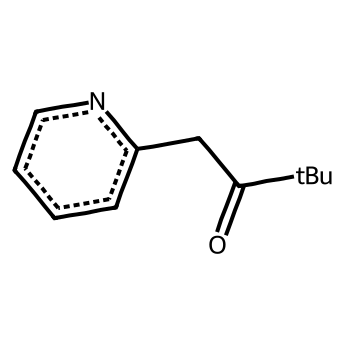 CC(C)(C)C(=O)Cc1ccccn1